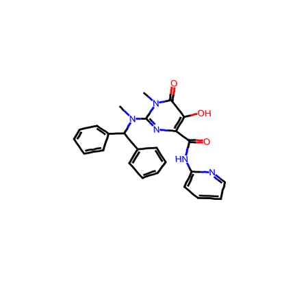 CN(c1nc(C(=O)Nc2ccccn2)c(O)c(=O)n1C)C(c1ccccc1)c1ccccc1